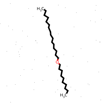 CCCCCCCCCCCCCCC[CH]OCCCCCCCCCC